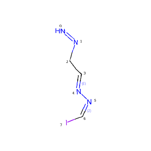 N=NC/C=N/N=C\I